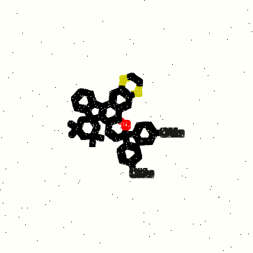 COc1ccc(C2(c3ccc(OC)cc3)C=Cc3c4c(c5cc6c(cc5c3O2)SCCS6)-c2ccccc2C42CC(C)(C)CC(C)(C)C2)cc1